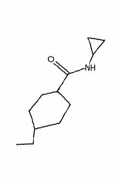 CCC1CCC(C(=O)NC2CC2)CC1